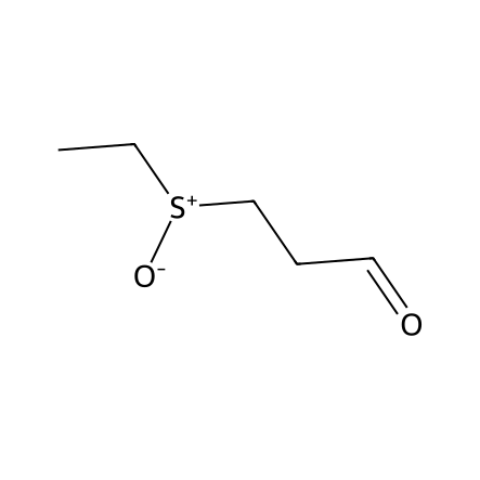 CC[S+]([O-])CCC=O